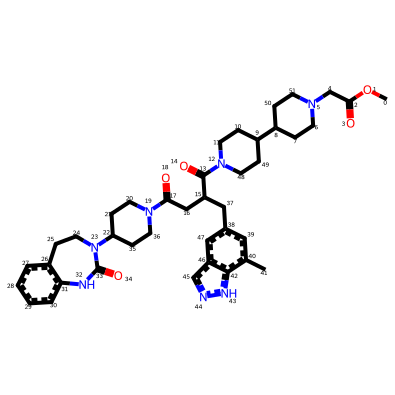 COC(=O)CN1CCC(C2CCN(C(=O)C(CC(=O)N3CCC(N4CCc5ccccc5NC4=O)CC3)Cc3cc(C)c4[nH]ncc4c3)CC2)CC1